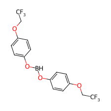 FC(F)(F)COc1ccc(OBOc2ccc(OCC(F)(F)F)cc2)cc1